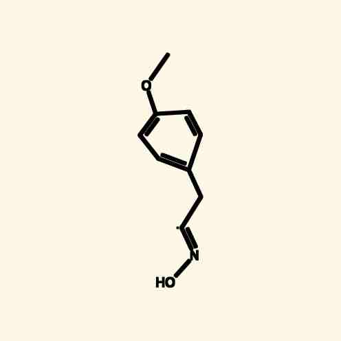 COc1ccc(C[C]=NO)cc1